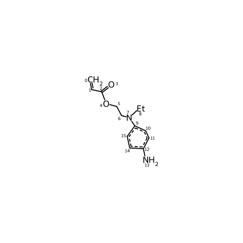 C=CC(=O)OCCN(CC)c1ccc(N)cc1